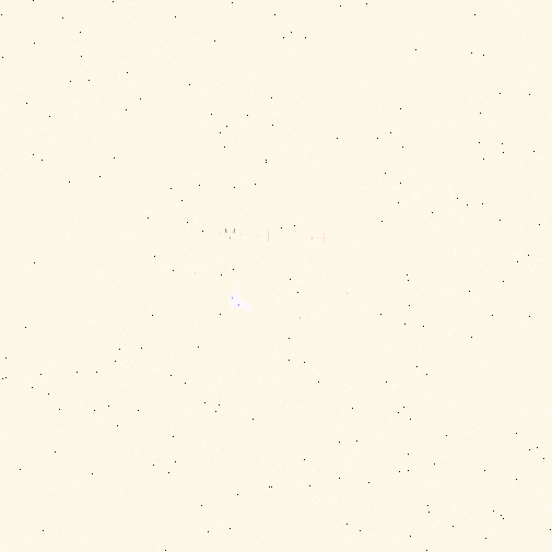 C#CC(O)c1c(Cl)cnc(C(=O)OC)c1Cl